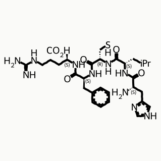 CC(C)C[C@H](NC(=O)[C@@H](N)Cc1c[nH]cn1)C(=O)N[C@@H](CS)C(=O)N[C@@H](Cc1ccccc1)C(=O)N[C@@H](CCCNC(=N)N)C(=O)O